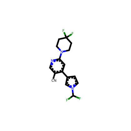 N#Cc1cnc(N2CCC(F)(F)CC2)cc1-c1ccn(C(F)F)c1